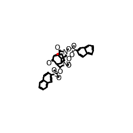 O=C1C2C=CC3C(C4C(=O)N(OS(=O)(=O)c5ccc6ccccc6c5)C(=O)C24)C1C(OS(=O)(=O)c1ccc2ccccc2c1)[N+]3=O